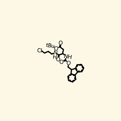 CC(C)(C)OC(=O)CC(NC(=O)OCC1c2ccccc2-c2ccccc21)C(=O)NCCCCl